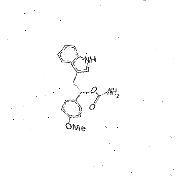 COc1ccc([C@H](Cc2c[nH]c3ccccc23)OC(N)=O)cc1